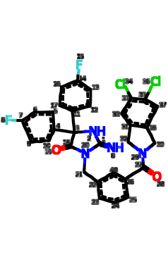 N=C1NC(c2ccc(F)cc2)(c2ccc(F)cc2)C(=O)N1Cc1cccc(C(=O)N2Cc3cc(Cl)c(Cl)cc3C2)c1